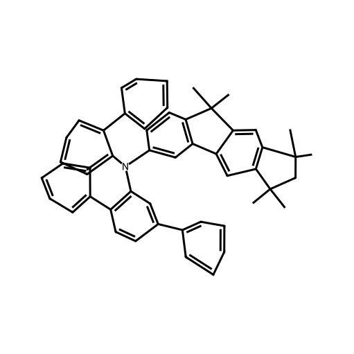 CC1(C)CC(C)(C)c2cc3c(cc21)-c1cc(N(c2ccccc2-c2ccccc2)c2cc(-c4ccccc4)ccc2-c2ccccc2)ccc1C3(C)C